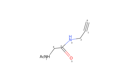 C#CCNC(=O)CNC(C)=O